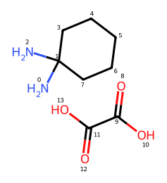 NC1(N)CCCCC1.O=C(O)C(=O)O